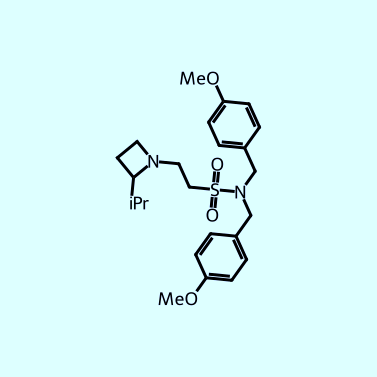 COc1ccc(CN(Cc2ccc(OC)cc2)S(=O)(=O)CCN2CCC2C(C)C)cc1